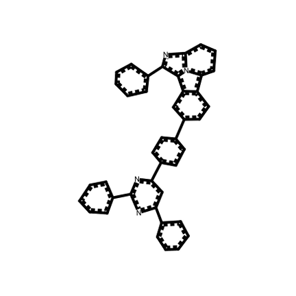 c1ccc(-c2cc(-c3ccc(-c4ccc5c(c4)c4c(-c6ccccc6)nc6cccc5n64)cc3)nc(-c3ccccc3)n2)cc1